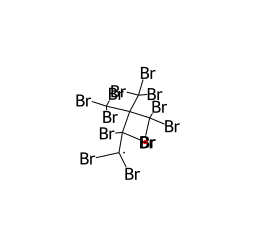 Br[C](Br)C(Br)(Br)C(C(Br)(Br)Br)(C(Br)(Br)Br)C(Br)(Br)Br